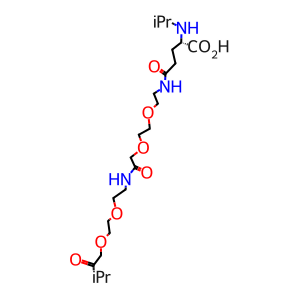 CC(C)N[C@@H](CCC(=O)NCCOCCOCC(=O)NCCOCCOCC(=O)C(C)C)C(=O)O